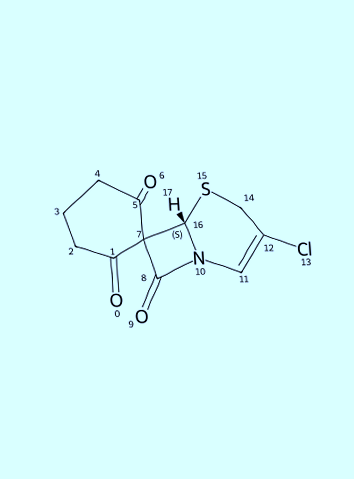 O=C1CCCC(=O)C12C(=O)N1C=C(Cl)CS[C@H]12